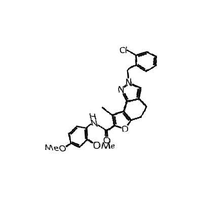 COc1ccc(NC(=O)c2oc3c(c2C)-c2nn(Cc4ccccc4Cl)cc2CC3)c(OC)c1